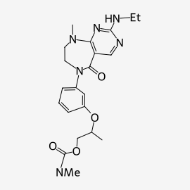 CCNc1ncc2c(n1)N(C)CCN(c1cccc(OC(C)COC(=O)NC)c1)C2=O